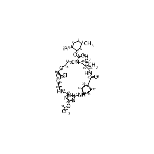 CC(C)[C@H]1CC[C@H](C)C[C@@H]1OC(=O)N1CCCOc2ccc(cc2Cl)CNc2nc(nc(OCC(F)(F)F)n2)Nc2ccc(cc2)C(=O)NCC(C)(C)C1